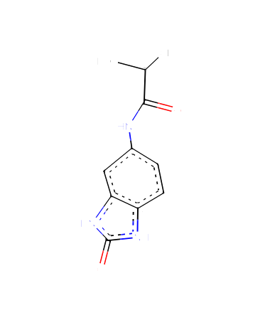 CC(C)C(=O)Nc1ccc2[nH]c(=O)[nH]c2c1